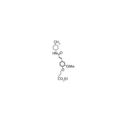 CCOC(=O)CCCOc1ccc(/C=C/C(=O)N[C@H]2CC[C@H](C)CC2)cc1OC